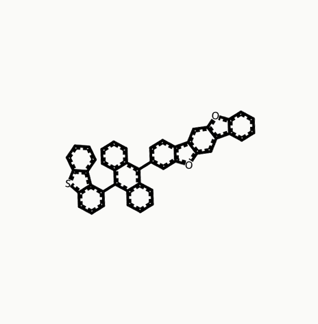 c1ccc2c(c1)oc1cc3c(cc12)oc1cc(-c2c4ccccc4c(-c4cccc5sc6ccccc6c45)c4ccccc24)ccc13